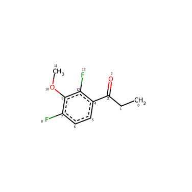 CCC(=O)c1ccc(F)c(OC)c1F